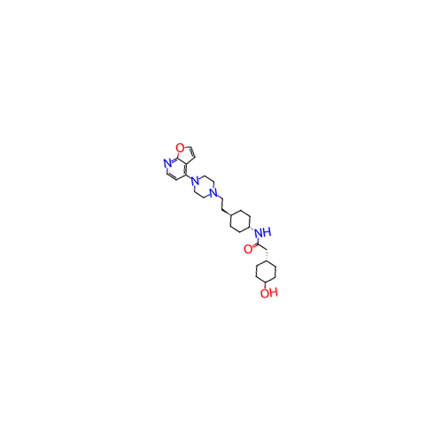 O=C(C[C@H]1CC[C@H](O)CC1)N[C@H]1CC[C@H](CCN2CCN(c3ccnc4occc34)CC2)CC1